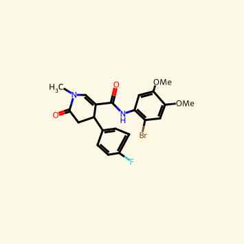 COc1cc(Br)c(NC(=O)C2=CN(C)C(=O)CC2c2ccc(F)cc2)cc1OC